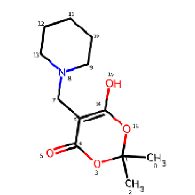 CC1(C)OC(=O)C(CN2CCCCC2)=C(O)O1